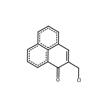 O=C1C(CCl)=Cc2cccc3cccc1c23